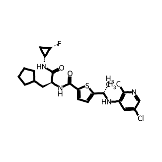 Cc1ncc(Cl)cc1N[C@@H](C)c1ccc(C(=O)N[C@@H](CC2CCCC2)C(=O)N[C@@H]2C[C@@H]2F)s1